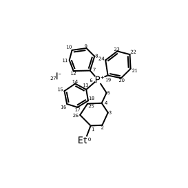 CCC1CCC(C[P+](c2ccccc2)(c2ccccc2)c2ccccc2)CC1.[I-]